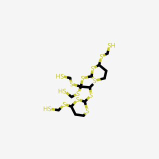 CC(SC1SCCC(SCS)S1)C(SCS)(SCS)SC1SCCC(SCS)S1